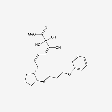 COC(=O)C(O)(O)/C(O)=C\C=C/C[C@H]1CCC[C@@H]1/C=C/CCOc1ccccc1